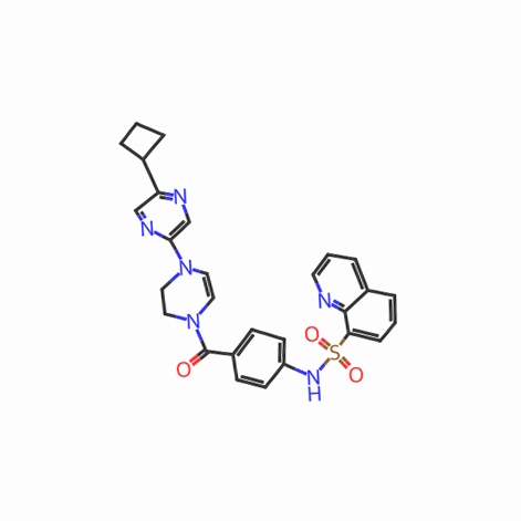 O=C(c1ccc(NS(=O)(=O)c2cccc3cccnc23)cc1)N1C=CN(c2cnc(C3CCC3)cn2)CC1